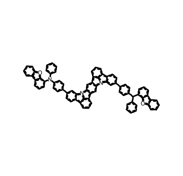 c1ccc(C(c2ccc(-c3ccc4c5cccc6c7cc8c(cc7n(c4c3)c56)c3cccc4c5ccc(-c6ccc(N(c7ccccc7)c7cccc9c7oc7ccccc79)cc6)cc5n8c43)cc2)c2cccc3c2oc2ccccc23)cc1